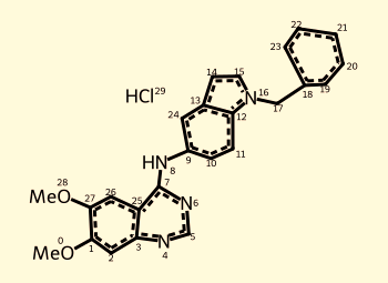 COc1cc2ncnc(Nc3ccc4c(ccn4Cc4ccccc4)c3)c2cc1OC.Cl